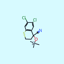 C[Si](C)(C)OC1(C#N)CCSc2cc(Cl)c(Cl)cc21